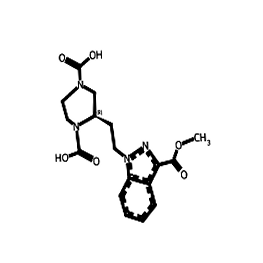 COC(=O)c1nn(CC[C@@H]2CN(C(=O)O)CCN2C(=O)O)c2ccccc12